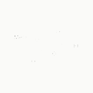 CCC(=O)OC(=O)OOC